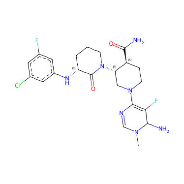 CN1C=NC(N2CC[C@H](C(N)=O)[C@@H](N3CCC[C@@H](Nc4cc(F)cc(Cl)c4)C3=O)C2)=C(F)C1N